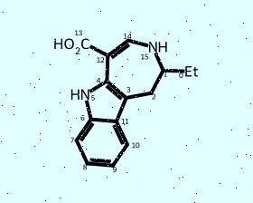 CCC1Cc2c([nH]c3ccccc23)C(C(=O)O)=CN1